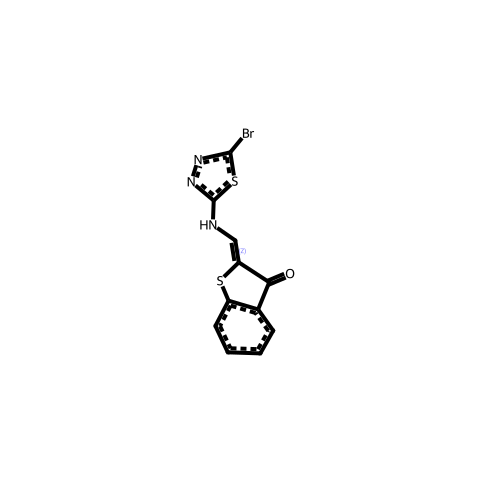 O=C1/C(=C/Nc2nnc(Br)s2)Sc2ccccc21